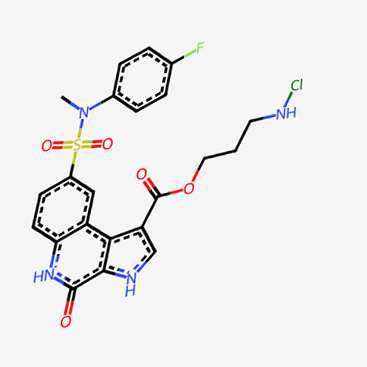 CN(c1ccc(F)cc1)S(=O)(=O)c1ccc2[nH]c(=O)c3[nH]cc(C(=O)OCCCNCl)c3c2c1